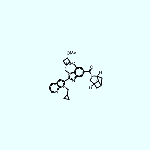 COc1cc(C(=O)N2C[C@H]3CC4C[C@@H]2[C@H]43)cc2nc(-c3cc4cccnc4n3CC3CC3)n(C[C@H]3C[C@@H](OC)C3)c12